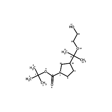 CC(C)(C)OC(=O)N1CCC(C(C)(C)OCCO)C1